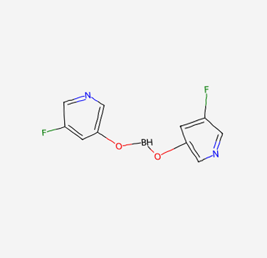 Fc1cncc(OBOc2cncc(F)c2)c1